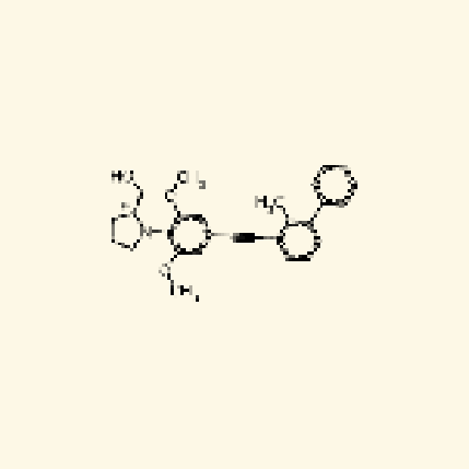 COc1cc(C#Cc2cccc(-c3ccccc3)c2C)cc(OC)c1N1CCC[C@H]1CO